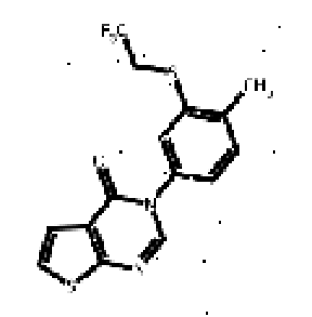 Cc1ccc(-n2cnc3sccc3c2=O)cc1SCC(F)(F)F